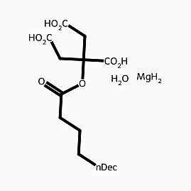 CCCCCCCCCCCCCC(=O)OC(CC(=O)O)(CC(=O)O)C(=O)O.O.[MgH2]